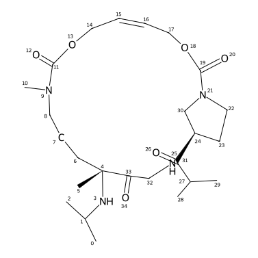 CC(C)N[C@]1(C)CCCN(C)C(=O)OCC=CCOC(=O)N2CC[C@@](C(=O)C(C)C)(C2)NCC1=O